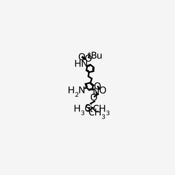 CC(C)(C)OC(=O)Nc1cccc(CCc2cc(N)cc3c2oc(=O)n3COCC[Si](C)(C)C)c1